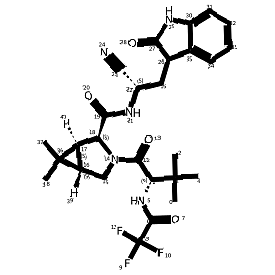 CC(C)(C)[C@H](NC(=O)C(F)(F)F)C(=O)N1C[C@H]2[C@H]([C@H]1C(=O)N[C@H](C#N)CC1C(=O)Nc3ccccc31)C2(C)C